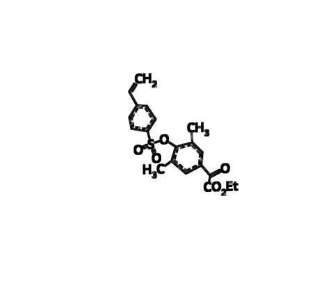 C=Cc1ccc(S(=O)(=O)Oc2c(C)cc(C(=O)C(=O)OCC)cc2C)cc1